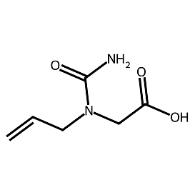 C=CCN(CC(=O)O)C(N)=O